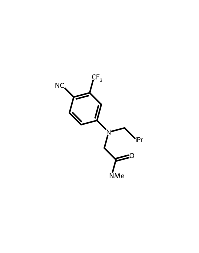 CNC(=O)CN(CC(C)C)c1ccc(C#N)c(C(F)(F)F)c1